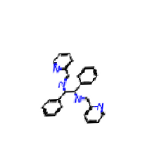 C(=N[C@H](c1ccccc1)[C@H](N=Cc1ccccn1)c1ccccc1)c1ccccn1